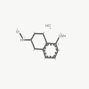 CCNC1CCc2c(cccc2OC)C1.Cl